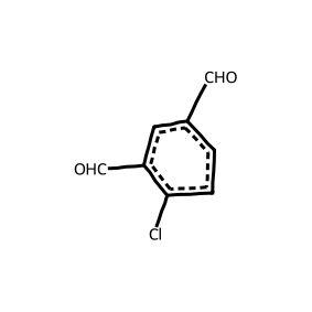 O=Cc1ccc(Cl)c(C=O)c1